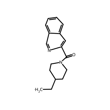 [CH2]CC1CCN(C(=O)c2cc3ccccc3cn2)CC1